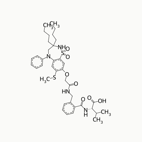 CCCCC1(CCCC)CN(c2ccccc2)c2cc(SC)c(OCC(=O)NCc3ccccc3C(=O)N[C@H](C(=O)O)C(C)C)cc2S(=O)(=O)N1